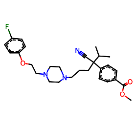 COC(=O)c1ccc(C(C#N)(CCCN2CCN(CCOc3ccc(F)cc3)CC2)C(C)C)cc1